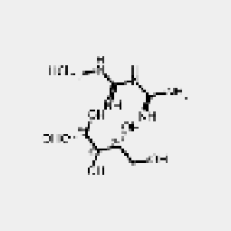 CCCCNC(=N)NC(=N)N.Cl.O=C[C@H](O)[C@H](O)[C@H](O)CO